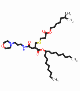 CCCCCCCCC(CCCCCCCC)OC(=O)C(CSCCC(=O)OCCCCCC(C)C)CC(=O)NCCCN1CCOCC1